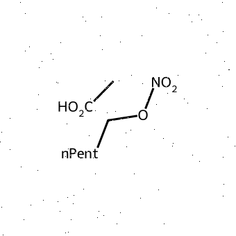 CC(=O)O.CCCCCCO[N+](=O)[O-]